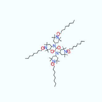 CCCCCCCCON1C(C)(C)CC(N(C(=O)C(=O)N(C2CC(C)(C)N(OCCCCCCCC)C(C)(C)C2)C2CC(C)(C)N(OCCCCCCCC)C(C)(C)C2)C2CC(C)(C)N(OCCCCCCCC)C(C)(C)C2)CC1(C)C